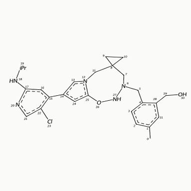 Cc1ccc(CN2CC3(CC3)Cn3cc(-c4cc(NC(C)C)ncc4Cl)cc3ON2)c(CO)c1